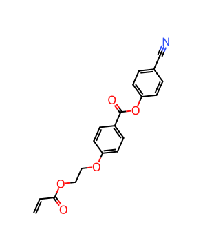 C=CC(=O)OCCOc1ccc(C(=O)Oc2ccc(C#N)cc2)cc1